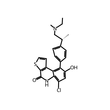 CCN(C)C[C@H](C)c1ccc(-c2c(O)cc(Cl)c3[nH]c(=O)c4sccc4c23)cc1